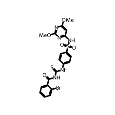 COc1cc(NS(=O)(=O)c2ccc(NC(=S)NC(=O)c3ccccc3Br)cc2)nc(OC)n1